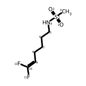 CS(=O)(=O)NCCCCC=C(F)F